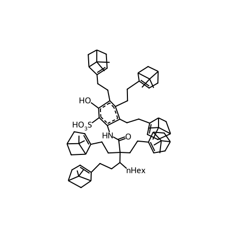 CCCCCCC(CCC1=CCC2CC1C2(C)C)C(CCC1=CCC2CC1C2(C)C)(CCC1=CCC2CC1C2(C)C)C(=O)Nc1c(CCC2=CCC3CC2C3(C)C)c(CCC2=CCC3CC2C3(C)C)c(CCC2=CCC3CC2C3(C)C)c(O)c1S(=O)(=O)O